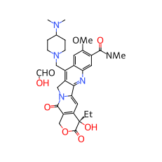 CC[C@@]1(O)C(=O)OCc2c1cc1n(c2=O)Cc2c-1nc1cc(C(=O)NC)c(OC)cc1c2CN1CCC(N(C)C)CC1.O=CO